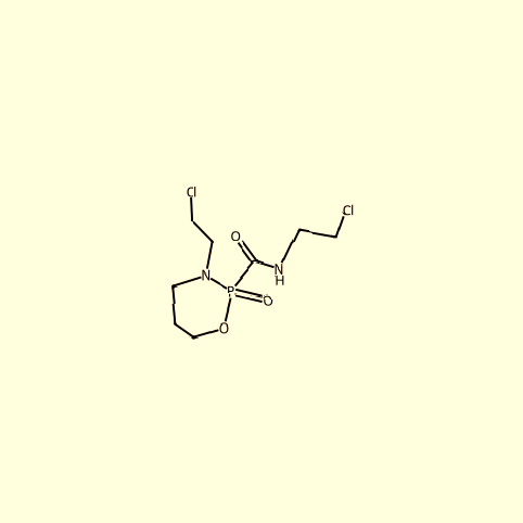 O=C(NCCCl)P1(=O)OCCCN1CCCl